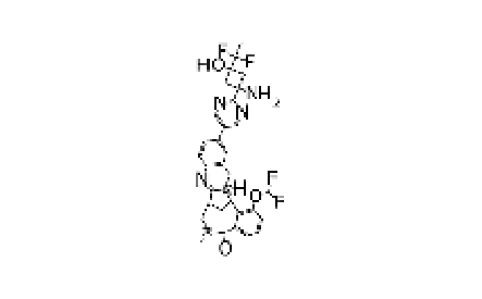 C[C@@H]1CC2CC(c3c(OC(F)F)cccc3C1=O)[C@@H]1Cc3cc(-c4cnc([C@]5(N)C[C@](O)(C(C)(F)F)C5)nc4)ccc3N=C21